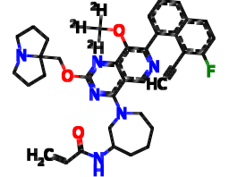 [2H]C([2H])([2H])Oc1c(-c2cccc3ccc(F)c(C#C)c23)ncc2c(N3CCCCC(NC(=O)C=C)C3)nc(OCC34CCCN3CCC4)nc12